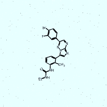 CCNC(=O)Nc1cccc(-c2cnc3ncc(-c4ccc(Br)c(F)c4)nn23)c1C